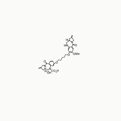 C=C1C[C@H]2CNc3cc(OCCCCCOc4ccc5c(c4)N(C(=O)O)[C@@H](O)[C@@H]4CC(=C)CN4C5=O)c(OC)cc3C(=O)N2C1